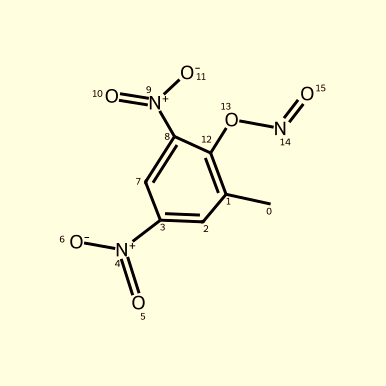 Cc1cc([N+](=O)[O-])cc([N+](=O)[O-])c1ON=O